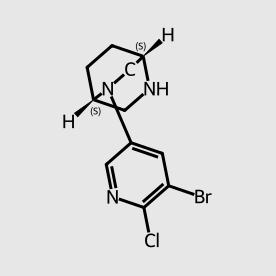 Clc1ncc(N2C[C@@H]3CC[C@H]2CN3)cc1Br